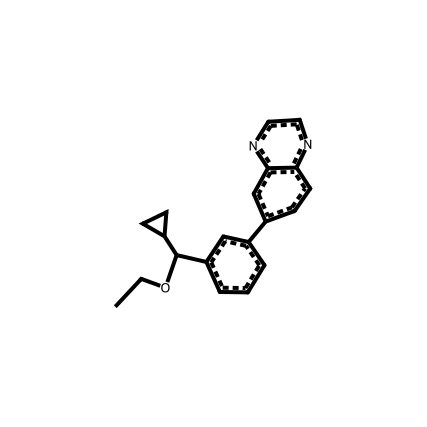 CCOC(c1cccc(-c2ccc3nccnc3c2)c1)C1CC1